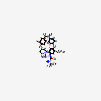 CCCCN1CCC(Oc2ccc(C(=O)N(CC)c3ccc(Oc4ccc(NC(=O)NC(CC)CC)cc4OC)cc3)cc2C)CC1